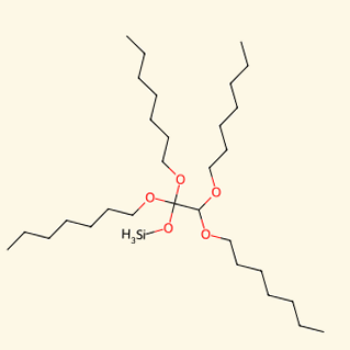 CCCCCCCOC(OCCCCCCC)C(O[SiH3])(OCCCCCCC)OCCCCCCC